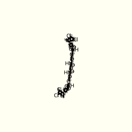 CN1Cc2c(Cl)cc(Cl)cc2[C@H](c2ccc(S(=O)(=O)NCCOCCOCCNC(=O)COCC(=O)NCCOCCOCCNS(=O)(=O)c3ccc([C@@H]4CN(C)Cc5c(Cl)cc(Cl)cc54)cc3)cc2)C1